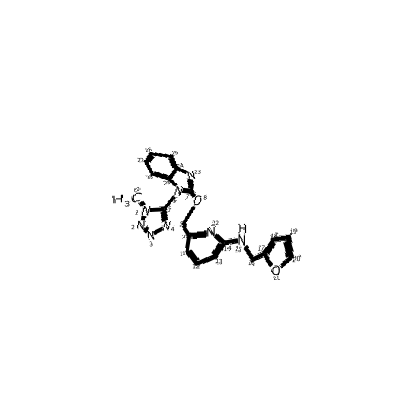 Cn1nnnc1-n1c(OCc2cccc(NCc3ccco3)n2)nc2ccccc21